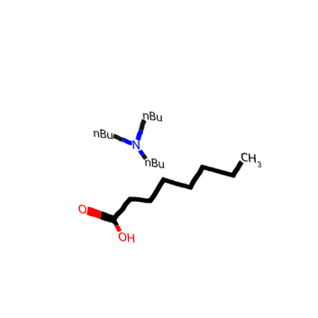 CCCCCCCC(=O)O.CCCCN(CCCC)CCCC